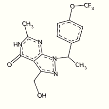 Cc1nc2c(c(CO)nn2C(C)c2ccc(OC(F)(F)F)cc2)c(=O)[nH]1